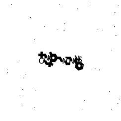 Cc1cc(CCN2CCN(c3nsc4ccccc34)CC2)cc2c1N(CC(C)(C)C)C(=O)CC2(C)C